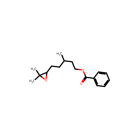 CC(CCOC(=O)c1ccccc1)CCC1OC1(C)C